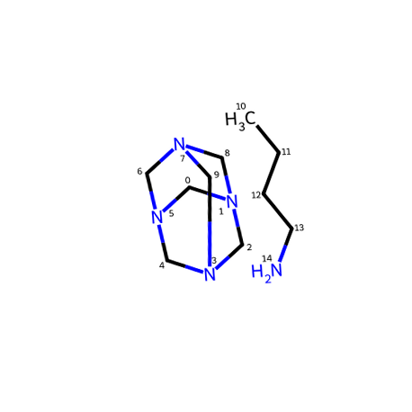 C1N2CN3CN1CN(C2)C3.CCCCN